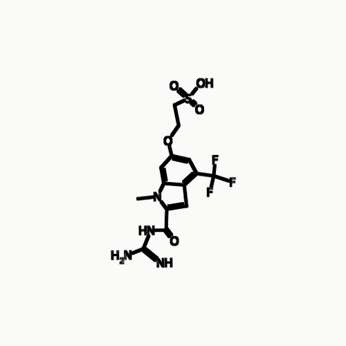 Cn1c(C(=O)NC(=N)N)cc2c(C(F)(F)F)cc(OCCS(=O)(=O)O)cc21